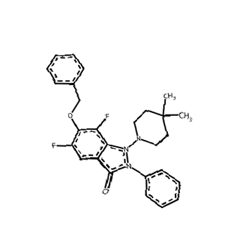 CC1(C)CCN(n2c3c(F)c(OCc4ccccc4)c(F)cc3c(=O)n2-c2ccccc2)CC1